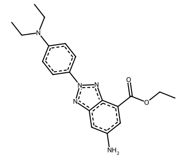 CCOC(=O)c1cc(N)cc2nn(-c3ccc(N(CC)CC)cc3)nc12